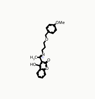 COc1ccc(COCCC/N=C(\C)c2c(O)c3ccccc3oc2=O)cc1